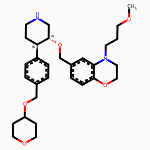 COCCCN1CCOc2ccc(CO[C@H]3CNCC[C@@H]3c3ccc(COC4CCOCC4)cc3)cc21